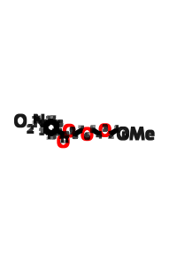 COCCOCCOCCOC(=O)c1ccc([N+](=O)[O-])cc1